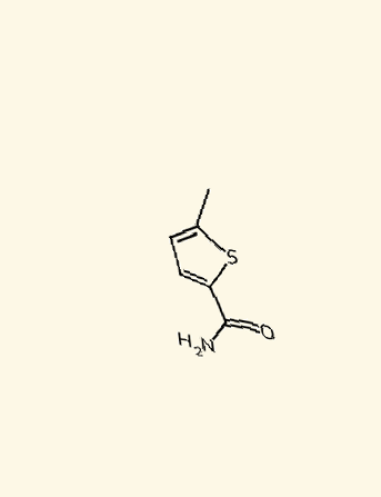 Cc1ccc(C(N)=O)s1